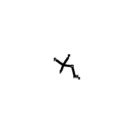 FC(F)(F)OP